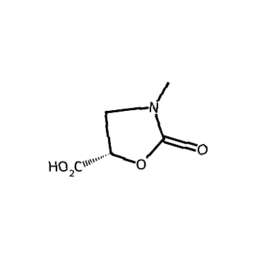 CN1C[C@@H](C(=O)O)OC1=O